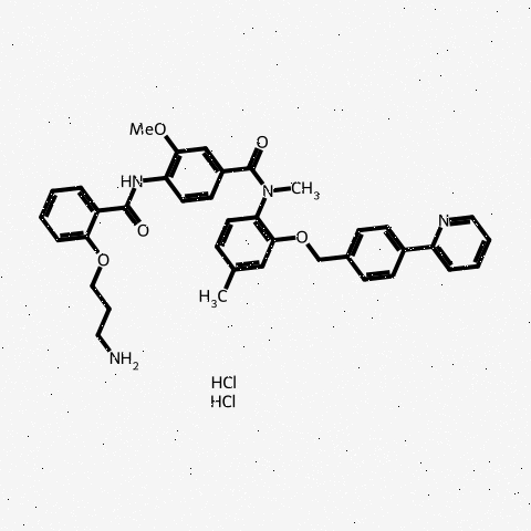 COc1cc(C(=O)N(C)c2ccc(C)cc2OCc2ccc(-c3ccccn3)cc2)ccc1NC(=O)c1ccccc1OCCCN.Cl.Cl